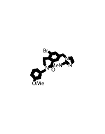 CNc1nccn1Cc1cc(Br)c2c(c1)C(=O)N(Cc1cccc(OC)c1)CC2